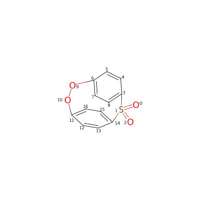 O=S1(=O)c2ccc(cc2)OOc2ccc1cc2